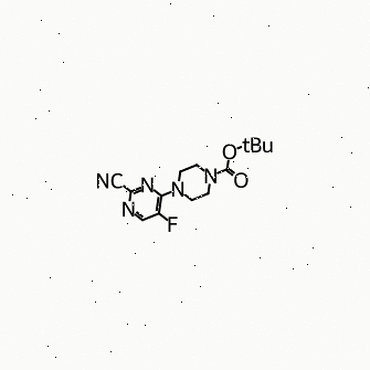 CC(C)(C)OC(=O)N1CCN(c2nc(C#N)ncc2F)CC1